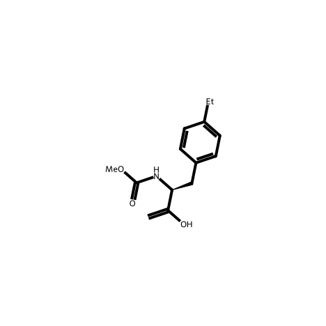 C=C(O)[C@H](Cc1ccc(CC)cc1)NC(=O)OC